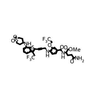 COC(=O)C(CCC(N)=O)NC(=O)c1ccc(NCC#Cc2sc3c(NC4CCS(=O)(=O)CC4)cccc3c2CC(F)(F)F)c(OCC(F)(F)F)c1